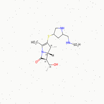 C[C@@H](O)[C@H]1C(=O)N2C(C(=O)O)=C(SC3CNC(CNS(=O)(=O)O)C3)[C@H](C)[C@H]12